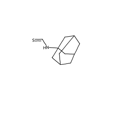 S=CNC12CC3CC(CC(C3)C1)C2